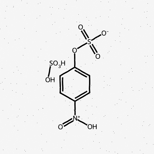 O=S(=O)(O)O.O=[N+](O)c1ccc(OS(=O)(=O)[O-])cc1